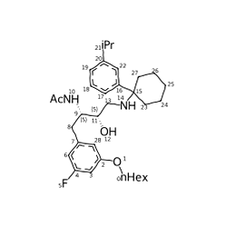 CCCCCCOc1cc(F)cc(C[C@H](NC(C)=O)[C@@H](O)CNC2(c3cccc(C(C)C)c3)CCCCC2)c1